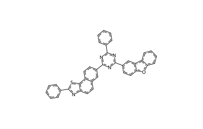 c1ccc(-c2nc(-c3ccc4c(ccc5nc(-c6ccccc6)sc54)c3)nc(-c3ccc4oc5ccccc5c4c3)n2)cc1